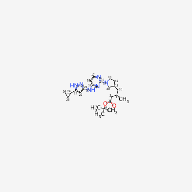 CC(CC(=O)OC(C)(C)C)C[C@@H]1CCN(c2nccc(Nc3cc(C4CC4)[nH]n3)n2)C1